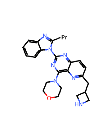 CC(C)c1nc2ccccc2n1-c1nc(N2CCOCC2)c2nc(CC3CNC3)ccc2n1